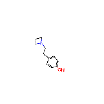 Oc1ccc(CCN2CCC2)cc1